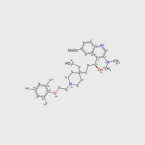 COc1ccc2ncc(N(C)C)c([C@@H](O)CCC3(CC(=O)O)CCN(CCOc4c(F)cc(F)cc4F)CC3)c2c1